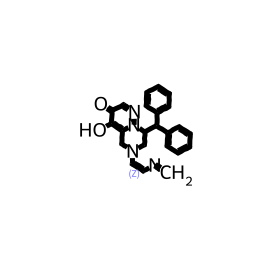 C=N/C=C\N1Cc2c(O)c(=O)cnn2C(C(c2ccccc2)c2ccccc2)C1